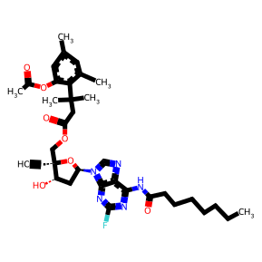 C#C[C@]1(COC(=O)CC(C)(C)c2c(C)cc(C)cc2OC(C)=O)O[C@@H](n2cnc3c(NC(=O)CCCCCCC)nc(F)nc32)C[C@@H]1O